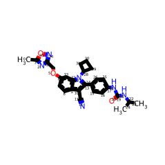 Cc1nc(COc2ccc3c(C#N)c(-c4ccc(NC(=O)NC(C)C)cc4)n(C4CCC4)c3c2)no1